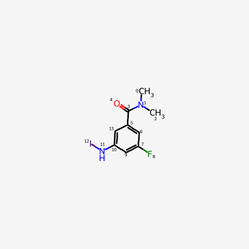 CN(C)C(=O)c1cc(F)cc(NI)c1